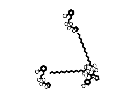 CCCCCCCCCCCCCCC(F)C(=O)OC(=O)c1c(C(=O)OC(=O)C(F)CCCCCCCCCCCCCC)c(-c2ccc(OC)cc2)n2c1CCC2.O=C(CCc1ccccc1Cl)OC(=O)c1ccco1.O=C(CCc1ccccc1Cl)OC(=O)c1ccco1